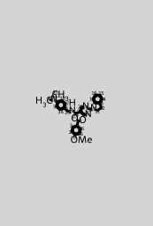 COc1ccc(COc2nc(N3CCc4ccccc43)ncc2C(=O)NCc2ccc(N(C)C)cc2)cc1